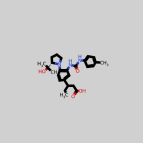 CCC(CC(=O)O)c1ccc(N2CCC[C@H]2C(C)(C)O)c(NC(=O)Nc2ccc(C)cc2)c1